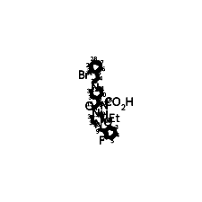 CCOc1cccc(F)c1CN1CCN(C(=O)[C@H](NC(=O)O)C2CCN(CCc3ccccc3Br)CC2)CC1